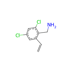 C=Cc1cc(Cl)cc(Cl)c1CN